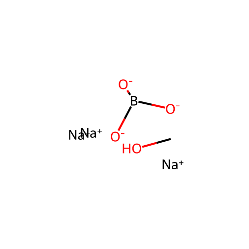 CO.[Na+].[Na+].[Na+].[O-]B([O-])[O-]